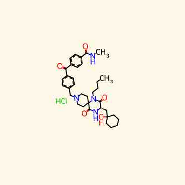 CCCCN1C(=O)[C@@H](CC2(O)CCCCC2)NC(=O)C12CCN(Cc1ccc(C(=O)c3ccc(C(=O)NC)cc3)cc1)CC2.Cl